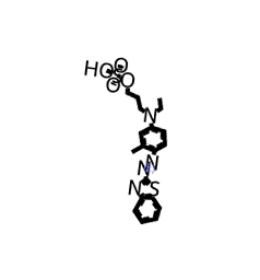 CCN(CCCOS(=O)(=O)O)c1ccc(/N=N/c2nc3ccccc3s2)c(C)c1